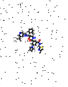 Cc1csc(CN(C)C(=O)c2cc(C(=O)N[C@@H](Cc3ccccc3)C(=O)CNCc3cncc(C(C)C)c3)cc(-n3cccc3)c2)n1